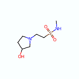 CNS(=O)(=O)CCN1CCC(O)C1